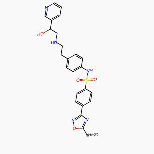 CCCCCCCc1nc(-c2ccc(S(=O)(=O)Nc3ccc(CCNCC(O)c4cccnc4)cc3)cc2)no1